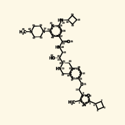 Cc1nc(C2CCC2)oc1COc1ccc2c(c1)CN[C@H]([C@H](O)CNC(=O)c1cc(NC3CCC3)nc(N3CCN(C)CC3)c1)C2